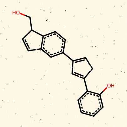 OCC1C=Cc2cc(C3=CCC(c4ccccc4O)=C3)ccc21